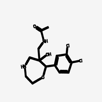 CC(=O)NCC1(O)CNCCOC1c1ccc(Cl)c(Cl)c1